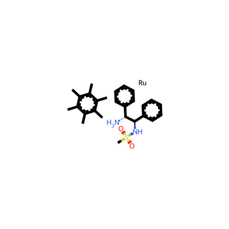 CS(=O)(=O)N[C@H](c1ccccc1)[C@H](N)c1ccccc1.Cc1c(C)c(C)c(C)c(C)c1C.[Ru]